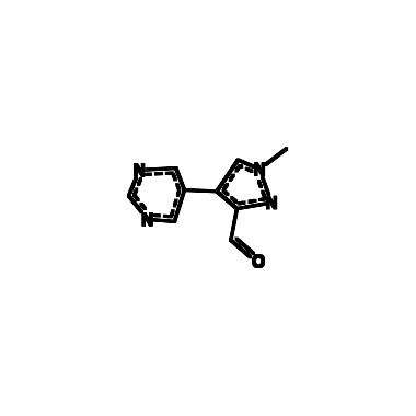 Cn1cc(-c2cncnc2)c(C=O)n1